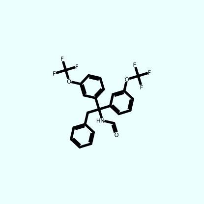 O=CNC(Cc1ccccc1)(c1cccc(OC(F)(F)F)c1)c1cccc(OC(F)(F)F)c1